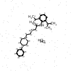 CC(C)c1cccc(C(C)C)c1NC(=O)CSCCN1CCN(c2ccccc2)CC1.Cl.Cl